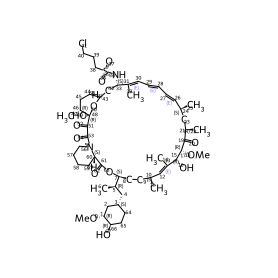 CO[C@@H]1C[C@H](C[C@@H](C)[C@@H]2CC[C@H](C)/C=C(\C)[C@@H](O)[C@@H](OC)C(=O)[C@H](C)C[C@H](C)/C=C/C=C/C=C(\C)[C@@H](NS(=O)(=O)CCCCl)C[C@@H]3CC[C@@H](C)[C@@](O)(O3)C(=O)C(=O)N3CCCC[C@H]3C(=O)O2)CC[C@H]1O